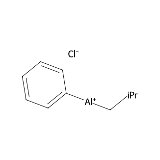 CC(C)[CH2][Al+][c]1ccccc1.[Cl-]